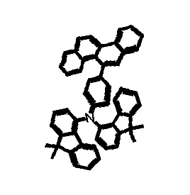 CC1(C)c2ccccc2-c2c(N(c3ccc(-c4cc5ccccc5c5ccc6ccccc6c45)cc3)c3cccc4c3-c3ccccc3C4(C)C)cccc21